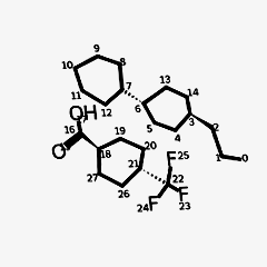 CCC[C@H]1CC[C@H](C2CCCCC2)CC1.O=C(O)[C@H]1CC[C@H](C(F)(F)F)CC1